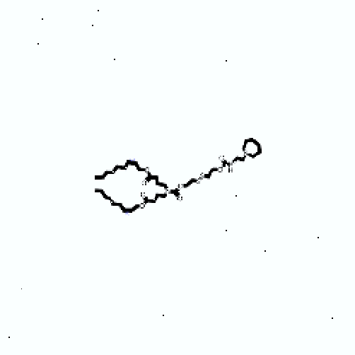 CCCCCC/C=C\COC(=O)CCCN(CCCC(=O)OC/C=C\CCCCCC)C(=O)OCCSSCCOC(=O)NCCN1CCCCCC1